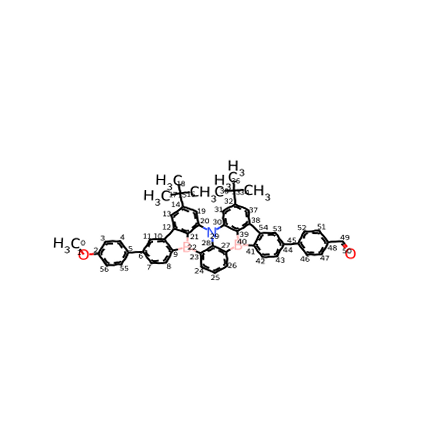 COc1ccc(-c2ccc3c(c2)-c2cc(C(C)(C)C)cc4c2B3c2cccc3c2N4c2cc(C(C)(C)C)cc4c2B3c2ccc(-c3ccc(C=O)cc3)cc2-4)cc1